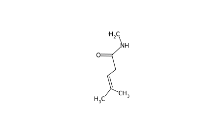 [CH2]NC(=O)CC=C(C)C